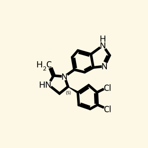 C=C1NC[C@H](c2ccc(Cl)c(Cl)c2)N1c1ccc2[nH]cnc2c1